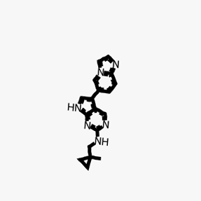 CC1(CNc2ncc3c(-c4ccc5nccn5c4)c[nH]c3n2)CC1